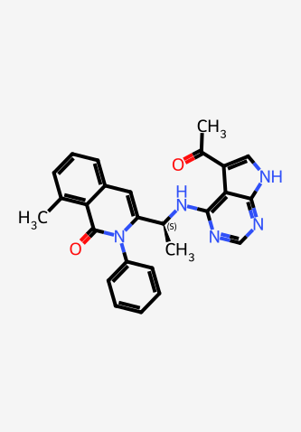 CC(=O)c1c[nH]c2ncnc(N[C@@H](C)c3cc4cccc(C)c4c(=O)n3-c3ccccc3)c12